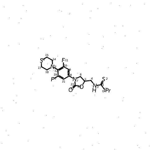 CC(C)C(=S)NCC1CN(c2cc(F)c(N3CCSCC3)c(F)c2)C(=O)O1